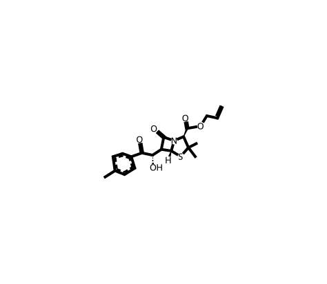 C=CCOC(=O)[C@@H]1N2C(=O)C([C@H](O)C(=O)c3ccc(C)cc3)[C@H]2SC1(C)C